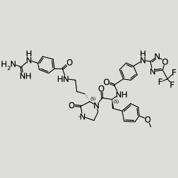 COc1ccc(C[C@H](NC(=O)c2ccc(Nc3noc(C(F)(F)F)n3)cc2)C(=O)N2CC[N]C(=O)[C@@H]2CCCNC(=O)c2ccc(NC(=N)N)cc2)cc1